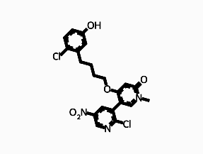 Cn1cc(-c2cc([N+](=O)[O-])cnc2Cl)c(OCCCCc2cc(O)ccc2Cl)cc1=O